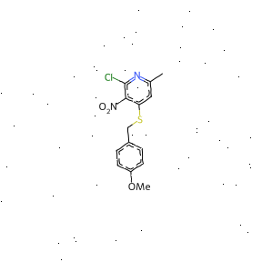 COc1ccc(CSc2cc(C)nc(Cl)c2[N+](=O)[O-])cc1